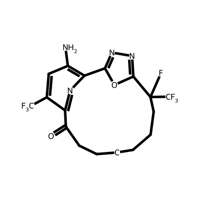 Nc1cc(C(F)(F)F)c2nc1-c1nnc(o1)C(F)(C(F)(F)F)CCCCCCC2=O